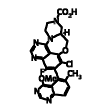 COc1ncnc2ccc(C)c(-c3c(Cl)c4c5c(ncnc5c3F)N3CCN(C(=O)O)C[C@H]3CO4)c12